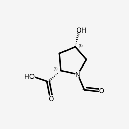 O=[C]N1C[C@@H](O)C[C@H]1C(=O)O